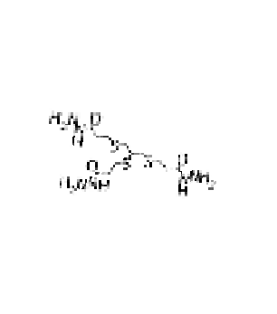 NNC(=O)CCSCC(CSCCC(=O)NN)SCCC(=O)NN